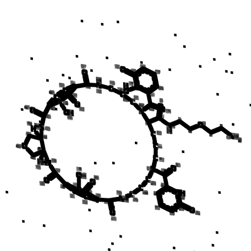 NCCOCCNC(=O)C1CCCN(C(=O)c2cccc(=O)[nH]2)CCCNC(=O)c2ccc(n(O)c2=O)C(=O)N[C@@H]2COC[C@@H]2NC(=O)c2ccc(c(=O)n2O)C(=O)NCCCN1C(=O)c1cccc(=O)n1O